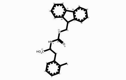 Cc1ccccc1CC(NC(=O)OCC1c2ccccc2-c2ccccc21)C(=O)O